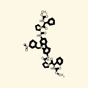 COC(=O)N[C@@H](C(=O)N1CCC[C@H]1C(=O)Nc1ccc2c3ccc(NC(=O)[C@@H]4CCCN4C(=O)[C@H](NC(=O)OC)c4ccccc4)cc3n(Cc3cccc([N+](=O)[O-])c3)c2c1)c1ccccc1